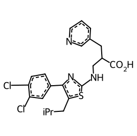 CC(C)Cc1sc(NCC(Cc2cccnc2)C(=O)O)nc1-c1ccc(Cl)c(Cl)c1